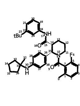 Cc1cccc(F)c1C(=O)N1CCC[C@@H](C(=O)Nc2cccc(C(C)(C)C)c2)[C@H]1c1ccc(NC2(C)CCCC2)cc1